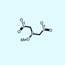 CON(C[SH](=O)=O)C[SH](=O)=O